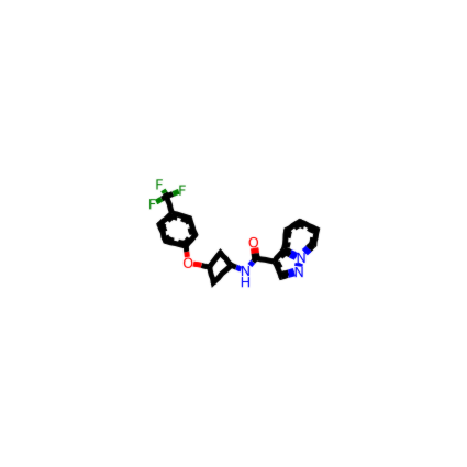 O=C(NC1CC(Oc2ccc(C(F)(F)F)cc2)C1)c1cnn2ccccc12